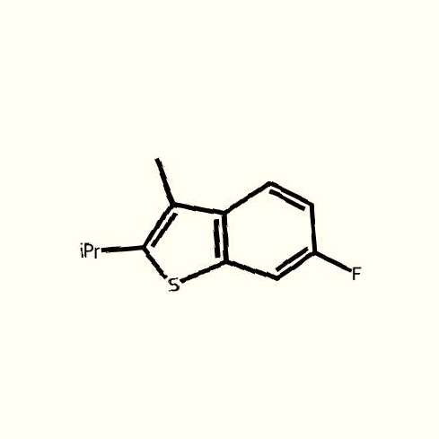 Cc1c(C(C)C)sc2cc(F)ccc12